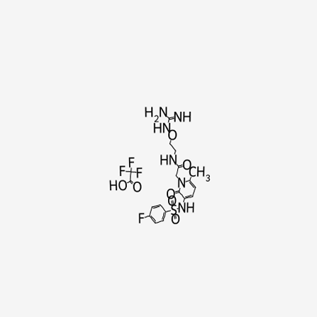 Cc1ccc(NS(=O)(=O)c2ccc(F)cc2)c(=O)n1CC(=O)NCCONC(=N)N.O=C(O)C(F)(F)F